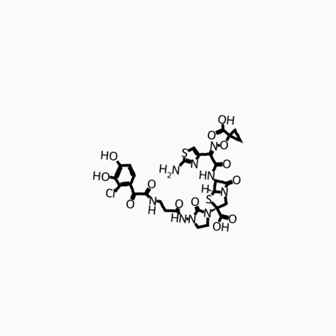 Nc1nc(/C(=N/OC2(C(=O)O)CC2)C(=O)N[C@@H]2C(=O)N3C[C@@](C(=O)O)(N4CCN(NC(=O)CCNC(=O)C(=O)c5ccc(O)c(O)c5Cl)C4=O)S[C@@H]23)cs1